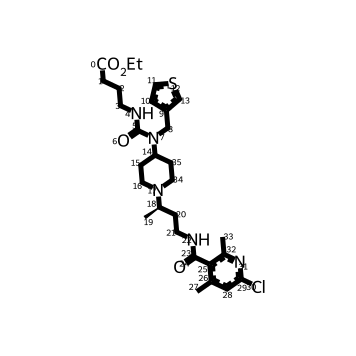 CCOC(=O)CCCNC(=O)N(Cc1ccsc1)C1CCN([C@H](C)CCNC(=O)c2c(C)cc(Cl)nc2C)CC1